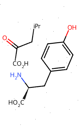 CC(C)CC(=O)C(=O)O.N[C@@H](Cc1ccc(O)cc1)C(=O)O